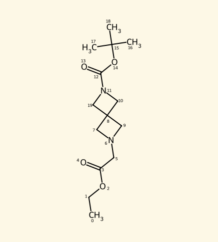 CCOC(=O)CN1CC2(C1)CN(C(=O)OC(C)(C)C)C2